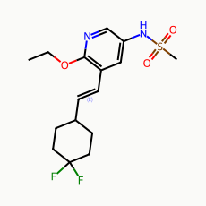 CCOc1ncc(NS(C)(=O)=O)cc1/C=C/C1CCC(F)(F)CC1